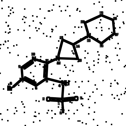 CS(=O)(=O)Nc1cc(Br)cnc1N1CC(N2CCCCC2)C1